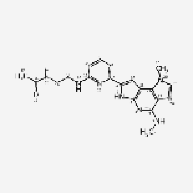 CNc1nc2[nH]c(-c3cccc(NCCNC(C)=O)n3)cc2c2c1ncn2C